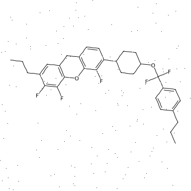 CCCc1ccc(C(F)(F)OC2CCC(c3ccc4c(c3F)Oc3c(cc(CCC)c(F)c3F)C4)CC2)cc1